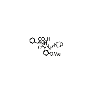 COc1cccc2c(C(=O)N[C@@H](Cc3ccccc3)C(=O)O)nn(CCN3CCOCC3)c12